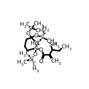 C=C(C(=O)O[Si]1(O[Si](C)(C)C)CCCC(O[Si](C)(C)C)(O[Si](C)(C)C)O1)C([SiH3])CC